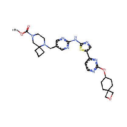 CCCCOC(=O)N1CCN(Cc2cnc(Nc3ncc(-c4ccnc(OC5CCC6(CC5)COC6)n4)s3)nc2)C2(CCC2)C1